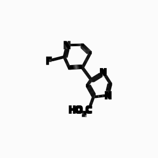 O=C(O)c1cc(-c2ccnc(F)c2)ncn1